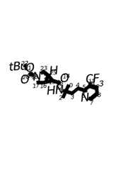 CC(C)(CCc1ncccc1C(F)(F)F)NC(=O)C1C2CN(C(=O)OC(C)(C)C)C[C@H]21